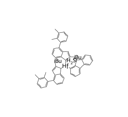 CCC(C)C1=Cc2c(-c3cccc(C)c3C)cccc2[CH]1[Hf]([c]1cccc2c1[SiH2]c1ccccc1-2)[CH]1C(C(C)CC)=Cc2c(-c3cccc(C)c3C)cccc21